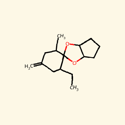 C=C1CC(C)C2(OC3CCCC3O2)C(CC)C1